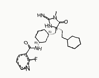 CN1C(=N)N[C@](CCC2CCCCC2)(C[C@H]2CCC[C@@H](NC(=O)c3cccnc3F)C2)C1=O